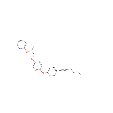 CCCCC#Cc1ccc(Oc2ccc(OCC(C)Oc3ccccn3)cc2)cc1